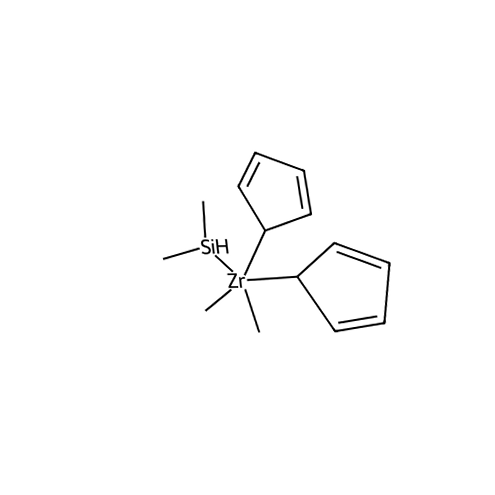 C[SiH](C)[Zr]([CH3])([CH3])([CH]1C=CC=C1)[CH]1C=CC=C1